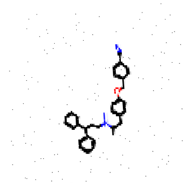 CC(Cc1ccc(OCc2ccc(C#N)cc2)cc1)NCCC(c1ccccc1)c1ccccc1